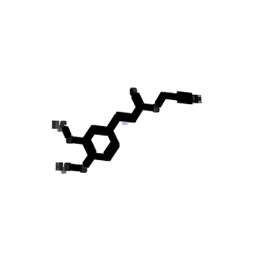 C#CCOC(=O)/C=C/c1ccc(OC)c(OC)c1